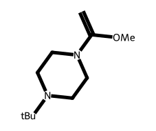 C=C(OC)N1CCN(C(C)(C)C)CC1